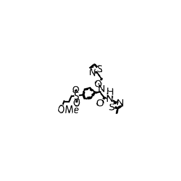 COCCCS(=O)(=O)c1ccc(/C(=N\OCc2nccs2)C(=O)Nc2ncc(C)s2)cc1